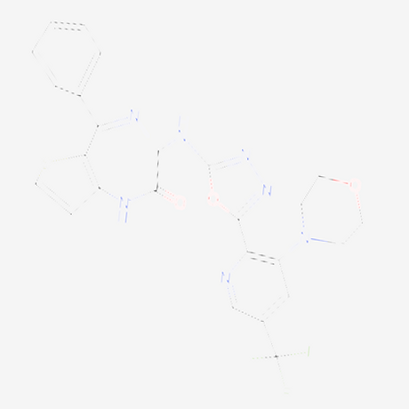 O=C1Nc2ccsc2C(c2ccccc2)=NC1Nc1nnc(-c2ncc(C(F)(F)F)cc2N2CCOCC2)o1